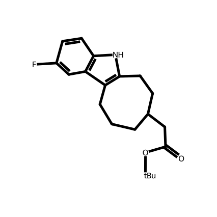 CC(C)(C)OC(=O)CC1CCCc2c([nH]c3ccc(F)cc23)CC1